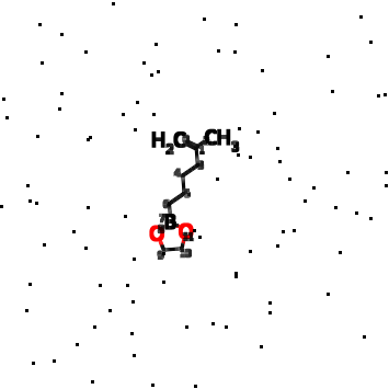 C=C(C)CCCCB1OCCO1